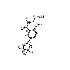 COc1ccc(B2OC(C)(C)C(C)(C)O2)cc1C(=O)N(C)CCO